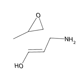 CC1CO1.NCC=CO